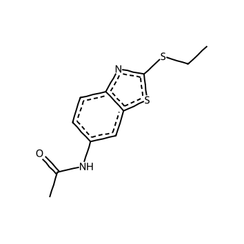 CCSc1nc2ccc(NC(C)=O)cc2s1